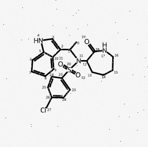 CC(c1c[nH]c2ccccc12)N(C1CCCCNC1=O)S(=O)(=O)c1ccc(Cl)cc1